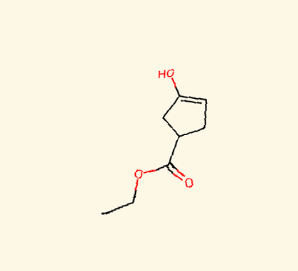 CCOC(=O)C1CC=C(O)C1